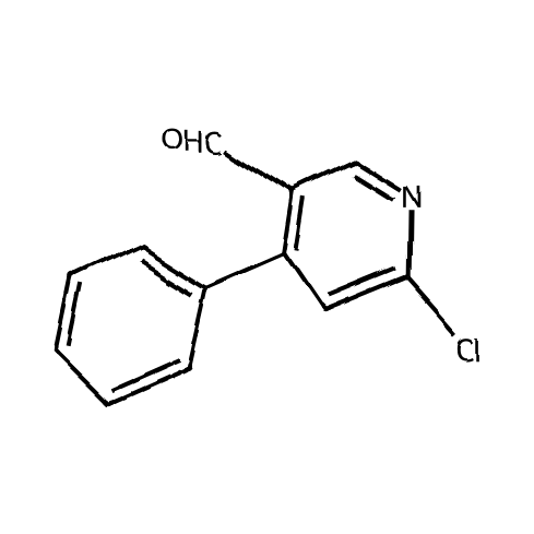 O=Cc1cnc(Cl)cc1-c1ccccc1